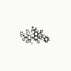 C=CC(=O)N1[C@H](C)CN(c2nc(=O)n3c4c(cc(C(F)(F)F)cc24)[SH](Cl)C[C@@H](c2cnccn2)C3)C[C@@H]1C